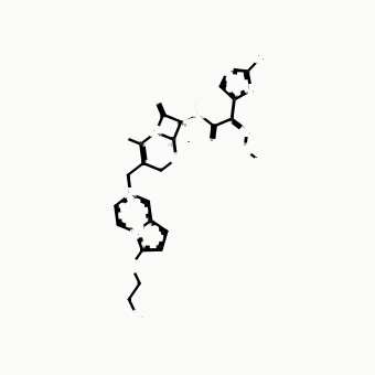 CCO/N=C(\C(=O)N[C@@H]1C(=O)N2C(C(=O)[O-])=C(Cn3cc[n+]4c(SCCO)ccc-4c3)CS[C@H]12)c1csc(N)n1